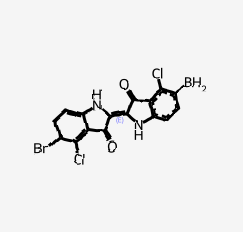 Bc1ccc2c(c1Cl)C(=O)/C(=C1\NC3=CCC(Br)C(Cl)=C3C1=O)N2